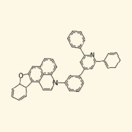 C1=CC2Oc3cc4cccc5c4c(c3C2C=C1)C=CN5c1cccc(-c2cc(C3=CCCC=C3)nc(-c3ccccc3)c2)c1